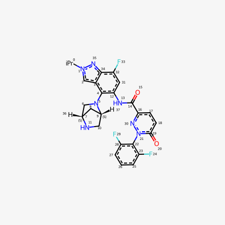 CC(C)n1cc2c(N3C[C@@H]4C[C@H]3CN4)c(NC(=O)c3ccc(=O)n(-c4c(F)cccc4F)n3)cc(F)c2n1